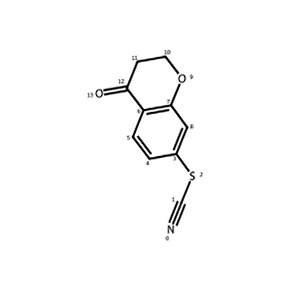 N#CSc1ccc2c(c1)OCCC2=O